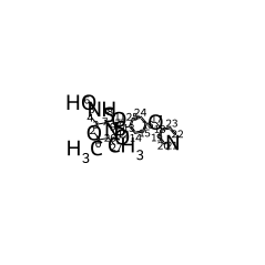 CC1OC(CNO)C(=S)N(S(=O)(=O)c2ccc(Oc3ccncc3)cc2)C1C